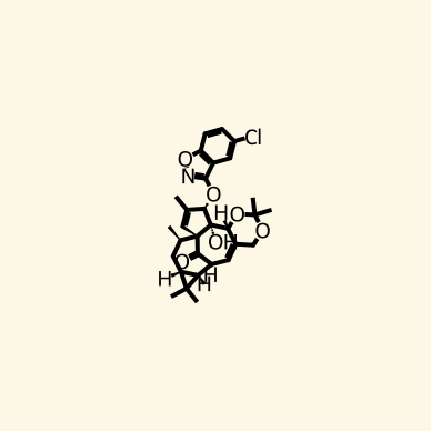 CC1=C[C@]23C(=O)[C@@H](C=C4COC(C)(C)O[C@H]4[C@]2(O)[C@H]1Oc1noc2ccc(Cl)cc12)[C@H]1[C@@H](C[C@H]3C)C1(C)C